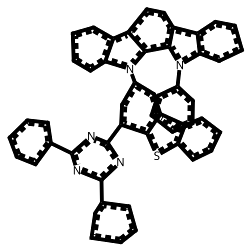 c1ccc(-c2nc(-c3ccccc3)nc(-c3cc(-n4c5ccccc5c5ccc6c7ccccc7n(-c7ccccc7)c6c54)cc4c3sc3ccccc34)n2)cc1